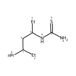 CCCC(CC)CC(CC)NC(N)=S